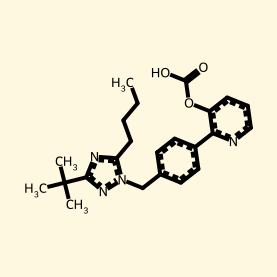 CCCCc1nc(C(C)(C)C)nn1Cc1ccc(-c2ncccc2OC(=O)O)cc1